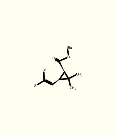 CC(C)(C)OC(=O)[C@@H]1[C@H](C=C(Br)Br)C1(C)C